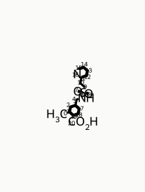 Cc1cc(CNS(=O)(=O)CCc2ccccn2)ccc1C(=O)O